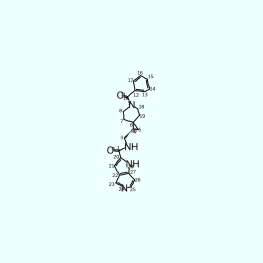 O=C(NC[C@@H]1CC12CCN(C(=O)c1ccccc1)CC2)c1cc2cnccc2[nH]1